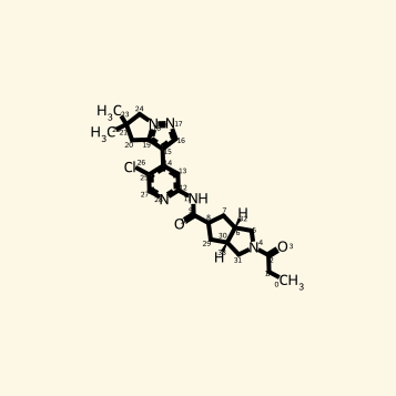 C[CH]C(=O)N1C[C@H]2CC(C(=O)Nc3cc(-c4cnn5c4CC(C)(C)C5)c(Cl)cn3)C[C@H]2C1